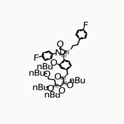 CCCCOCC1O[C@@H](Cc2ccc([C@@H]3[C@@H](CCCc4ccc(F)cc4)C(=O)N3c3ccc(F)cc3)c(OCCCC)c2)[C@@H](OCCCC)C(OCCCC)[C@@H]1OCCCC